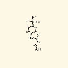 COC[C@@H]1Cc2cc(C(F)(F)F)ccc2N1